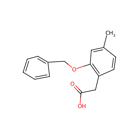 Cc1ccc(CC(=O)O)c(OCc2ccccc2)c1